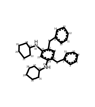 c1ccc(Cc2cc(Cc3ccccc3)c(NC3CCCCC3)cc2NC2CCCCC2)cc1